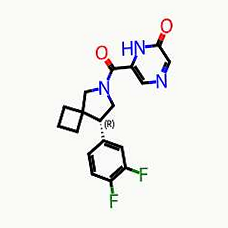 O=C(c1cncc(=O)[nH]1)N1C[C@H](c2ccc(F)c(F)c2)C2(CCC2)C1